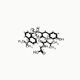 CC(C)C(NC(=O)C(Cc1ccc(O)cc1)NS(=O)(=O)c1cccc2c(N(C)C)cccc12)C(=O)NCC(=O)O